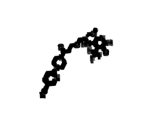 COC[C@@H](COCCC(=O)N1CCN(c2ccc(C#N)cn2)CC1)Nc1cn[nH]c(=O)c1C(F)(F)F